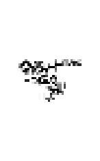 CCCCCCCCCCCCCCCC(=O)C(OC(=O)c1cccnc1)[C@H]1O[C@@H](n2cc(C)c(=O)[nH]c2=O)C[C@@H]1O